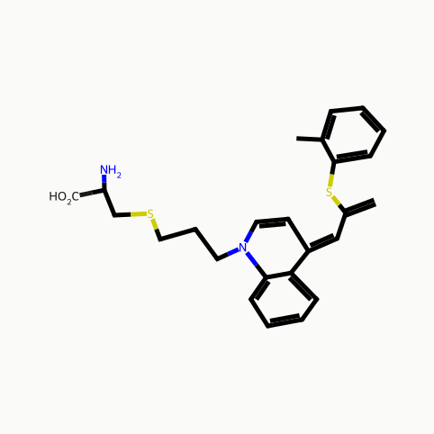 C=C(C=C1C=CN(CCCSCC(N)C(=O)O)c2ccccc21)Sc1ccccc1C